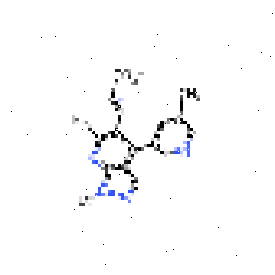 CCc1nc2c(cnn2CC)c(-c2cncc(C)c2)c1/C=C/C(=O)O